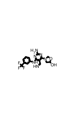 N=Cc1c(Nc2cccc(C(F)(F)F)c2)nc(N)nc1N1COC(O)C1